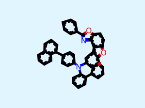 c1ccc(-c2nc3c(ccc4oc5ccc(N(c6ccc(-c7cccc8ccccc78)cc6)c6ccccc6-c6ccccc6)cc5c43)o2)cc1